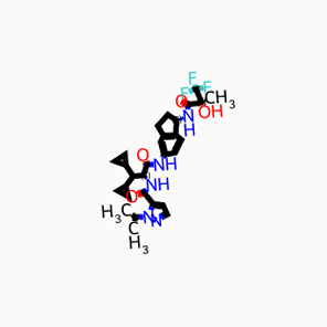 CC(C)n1nccc1C(=O)N[C@H](C(=O)Nc1ccc2c(c1)CC[C@H]2NC(=O)[C@](C)(O)C(F)(F)F)C(C1CC1)C1CC1